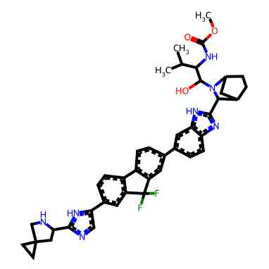 COC(=O)NC(C(C)C)C(O)N1C2CCC(C2)C1c1nc2ccc(-c3ccc4c(c3)C(F)(F)c3cc(-c5cnc(C6CC7(CC7)CN6)[nH]5)ccc3-4)cc2[nH]1